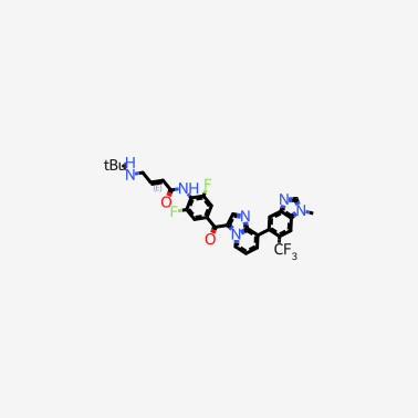 Cn1cnc2cc(-c3cccn4c(C(=O)c5cc(F)c(NC(=O)/C=C/CNC(C)(C)C)c(F)c5)cnc34)c(C(F)(F)F)cc21